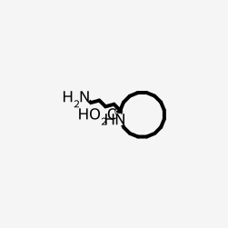 NCCCC[C@]1(C(=O)O)CCCCCCCCCCCCCCN1